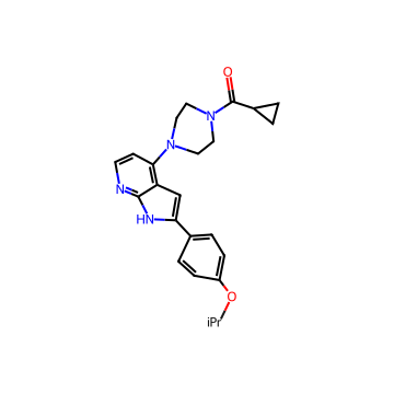 CC(C)Oc1ccc(-c2cc3c(N4CCN(C(=O)C5CC5)CC4)ccnc3[nH]2)cc1